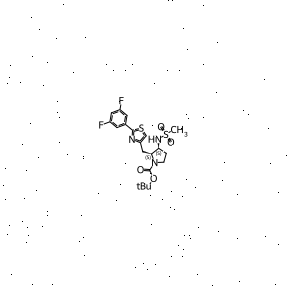 CC(C)(C)OC(=O)N1CC[C@H](NS(C)(=O)=O)[C@@H]1Cc1csc(-c2cc(F)cc(F)c2)n1